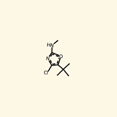 CNc1nc(Cl)c(C(C)(C)C)o1